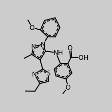 CCc1csc(-c2c(C)nn(-c3ccccc3OC)c2Nc2ccc(OC)cc2C(=O)O)n1